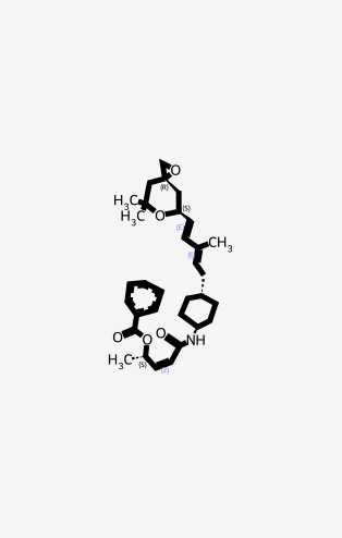 CC(/C=C/[C@@H]1C[C@]2(CO2)CC(C)(C)O1)=C\C[C@H]1CC[C@@H](NC(=O)/C=C\[C@H](C)OC(=O)c2ccccc2)CC1